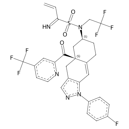 C=CC(=N)S(=O)(=O)N(CC(F)(F)F)[C@H]1CCC2=Cc3c(cnn3-c3ccc(F)cc3)C[C@]2(C(=O)c2cc(C(F)(F)F)ccn2)C1